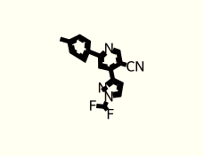 Cc1ccc(-c2cc(-c3ccn(C(F)F)n3)c(C#N)cn2)cc1